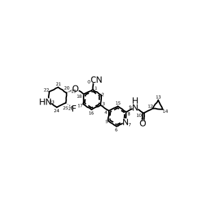 N#Cc1cc(-c2ccnc(NC(=O)C3CC3)c2)ccc1O[C@H]1CCNC[C@H]1F